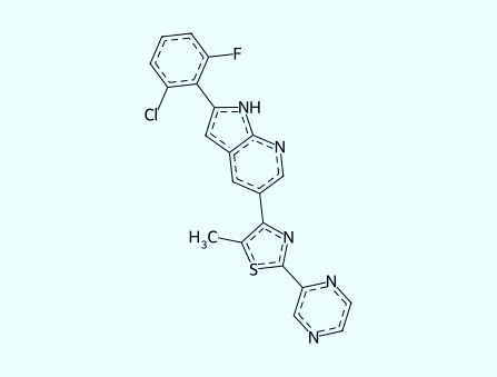 Cc1sc(-c2cnccn2)nc1-c1cnc2[nH]c(-c3c(F)cccc3Cl)cc2c1